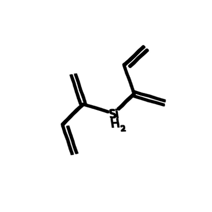 C=CC(=C)[SiH2]C(=C)C=C